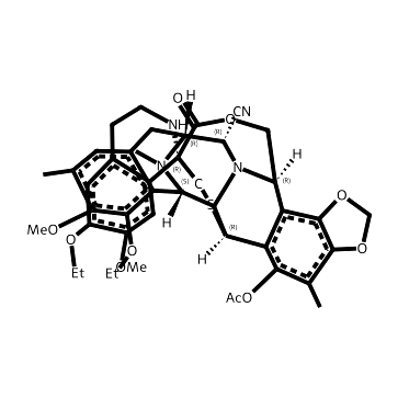 CCOc1cc2c(cc1OC)[C@@]1(CS[C@@H]3c4c(OC(C)=O)c(C)c5c(c4[C@H](COC1=O)N1C3[C@@H]3c4c(cc(C)c(OC)c4OCC)C[C@H]([C@@H]1C#N)N3C)OCO5)NCC2